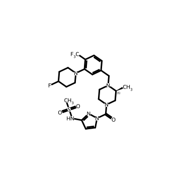 C[C@H]1CN(C(=O)n2ccc(NS(C)(=O)=O)n2)CCN1Cc1ccc(C(F)(F)F)c(N2CCC(F)CC2)c1